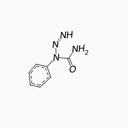 N=NN(C(N)=O)c1ccccc1